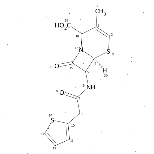 CC1=CS[C@H]2C(NC(=O)Cc3cccs3)C(=O)N2C1C(=O)O